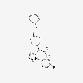 CCC(=O)N(c1cnnn1-c1ccc(F)cc1)C1CCN(CCc2ccccc2)CC1